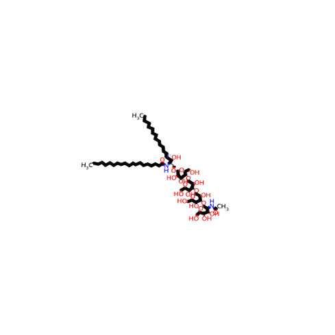 CCCCCCCCCCCCC/C=C/[C@@H](O)[C@H](CO[C@@H]1OC(CO)[C@@H](O[C@@H]2OC(CO)[C@H](O)[C@H](O[C@H]3OC(CO)[C@H](O)[C@H](O[C@@H]4OC(CO)[C@H](O)[C@H](O)C4NC(C)=O)C3O)C2O)[C@H](O)C1O)NC(=O)CCCCCCCCCCCCCCCCCCC